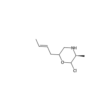 CC=CCC1CN[C@@H](C)C(Cl)O1